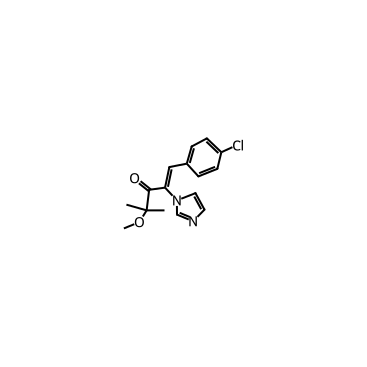 COC(C)(C)C(=O)/C(=C/c1ccc(Cl)cc1)n1ccnc1